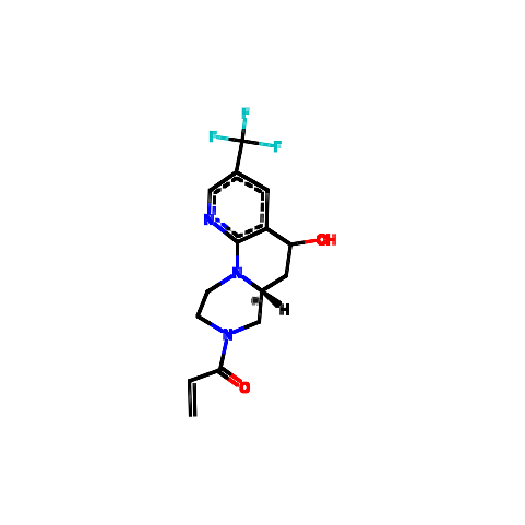 C=CC(=O)N1CCN2c3ncc(C(F)(F)F)cc3C(O)C[C@@H]2C1